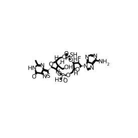 Cc1nc2c([C@@H]3O[C@@H]4COP(=O)(S)O[C@H]5[C@@H](F)[C@H](n6cnc7c(N)ncnc76)O[C@@H]5COP(=O)(S)O[C@@H]3[C@@H]4CO)snc2c(=O)[nH]1